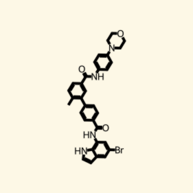 Cc1ccc(C(=O)Nc2ccc(N3CCOCC3)cc2)cc1-c1ccc(C(=O)Nc2cc(Br)cc3cc[nH]c23)cc1